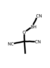 CC(C#N)(C#N)OBC#N